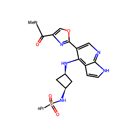 CCCS(=O)(=O)N[C@H]1C[C@@H](Nc2c(-c3nc(C(=O)NC)co3)cnc3[nH]ccc23)C1